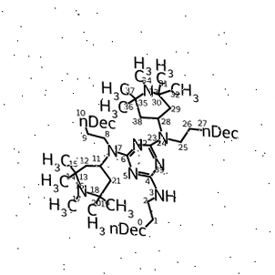 CCCCCCCCCCCCNc1nc(N(CCCCCCCCCCCC)C2CC(C)(C)N(C)C(C)(C)C2)nc(N(CCCCCCCCCCCC)C2CC(C)(C)N(C)C(C)(C)C2)n1